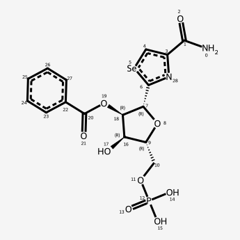 NC(=O)c1c[se]c([C@@H]2O[C@H](COP(=O)(O)O)[C@@H](O)[C@H]2OC(=O)c2ccccc2)n1